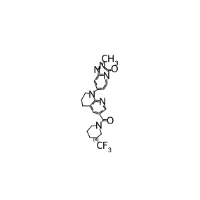 Cn1nc2cc(N3CCCc4cc(C(=O)N5CCC[C@@H](C(F)(F)F)C5)cnc43)ccn2c1=O